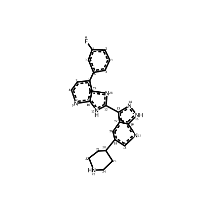 Fc1cccc(-c2ccnc3[nH]c(-c4n[nH]c5ncc(C6CCNCC6)cc45)nc23)c1